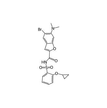 CN(C)c1cc2oc(C(=O)NS(=O)(=O)c3ccccc3OC3CC3)cc2cc1Br